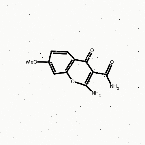 COc1ccc2c(=O)c(C(N)=O)c(N)oc2c1